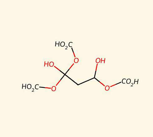 O=C(O)OC(O)CC(O)(OC(=O)O)OC(=O)O